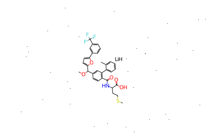 COC(c1ccc(C(=O)NC(CCSC)C(=O)O)c(-c2ccccc2C)c1)c1ccc(-c2cccc(C(F)(F)F)c2)o1.[LiH]